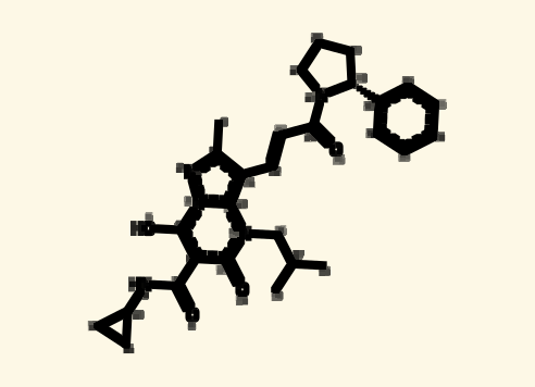 Cc1nn2c(O)c(C(=O)NC3CC3)c(=O)n(CC(C)C)c2c1/C=C/C(=O)N1CCC[C@@H]1c1ccccc1